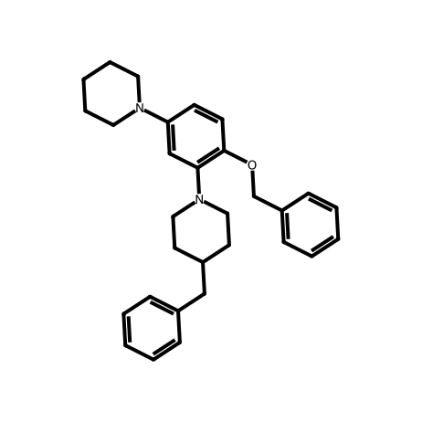 c1ccc(COc2ccc(N3CCCCC3)cc2N2CCC(Cc3ccccc3)CC2)cc1